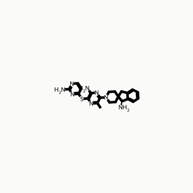 Cc1nc(Sc2ccnc(N)n2)c(N)nc1N1CCC2(CC1)Cc1ccccc1[C@H]2N